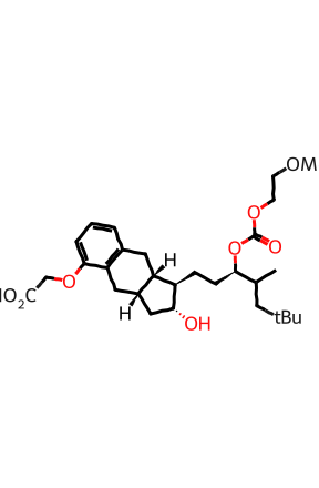 COCCOC(=O)O[C@H](CC[C@@H]1[C@H]2Cc3cccc(OCC(=O)O)c3C[C@H]2C[C@H]1O)C(C)CC(C)(C)C